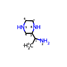 [CH2]C(N)C1CNCCN1